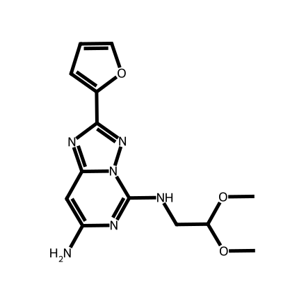 COC(CNc1nc(N)cc2nc(-c3ccco3)nn12)OC